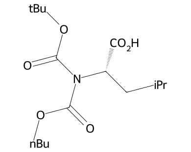 CCCCOC(=O)N(C(=O)OC(C)(C)C)[C@@H](CC(C)C)C(=O)O